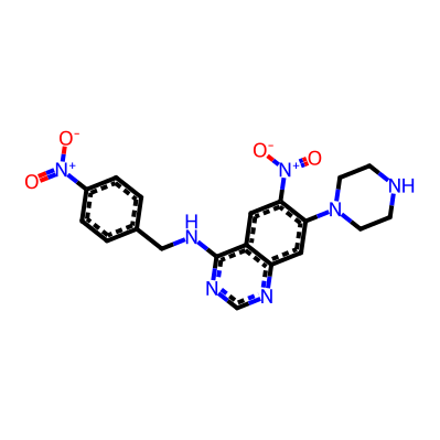 O=[N+]([O-])c1ccc(CNc2ncnc3cc(N4CCNCC4)c([N+](=O)[O-])cc23)cc1